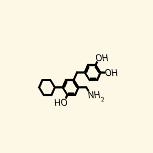 NCc1cc(O)c(C2CCCCC2)cc1Cc1ccc(O)c(O)c1